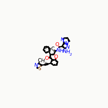 Cc1ncsc1C#Cc1cccc2oc([C@@H](C)NC(=O)c3c(N)nn4cccnc34)c(-c3ccccc3)c(=O)c12